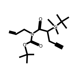 C#CCC(C(=O)N(CC=C)C(=O)OC(C)(C)C)[Si](C)(C)C(C)(C)C